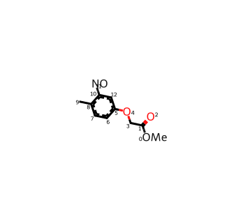 COC(=O)COc1ccc(C)c(N=O)c1